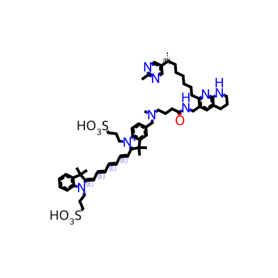 Cc1ncc([C@H](C)CCCCCCc2nc3c(cc2CNC(=O)CCCN(C)Cc2ccc4c(c2)C(C)(C)C(/C=C/C=C/C=C/C=C2/N(CCCS(=O)(=O)O)c5ccccc5C2(C)C)=[N+]4CCCS(=O)(=O)O)CCCN3)cn1